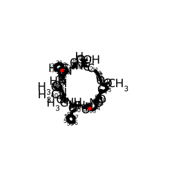 COc1ccc2cc1OCC=CCCC(C(=O)O)NC(=O)CN(C)C(=O)C(Cc1ccccc1)NC(=O)C(C(C)C)NC(=O)C(C)NC(=O)[C@@H](CCc1ccccc1)NC(=O)[C@@H]1CCCCN1C(=O)C2=O